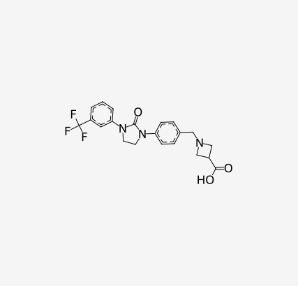 O=C(O)C1CN(Cc2ccc(N3CCN(c4cccc(C(F)(F)F)c4)C3=O)cc2)C1